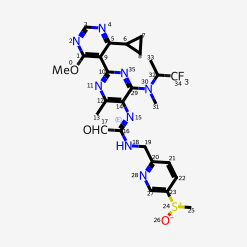 COc1ncnc(C2CC2)c1-c1nc(C)c(/N=C(\C=O)NCc2ccc([S+](C)[O-])cn2)c(N(C)C(C)C(F)(F)F)n1